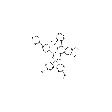 COc1ccc(C2(c3ccc(OC)cc3)C=C(c3ccc(-c4ccccc4)cc3)c3c4c(c5cc(OC)c(OC)cc5c3O2)-c2ccccc2C4(C)C)cc1